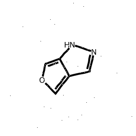 c1n[nH]c2cocc12